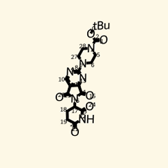 CC(C)(C)OC(=O)N1CCN(c2ncc3c(n2)C(=O)N(C2CCC(=O)NC2=O)C3=O)CC1